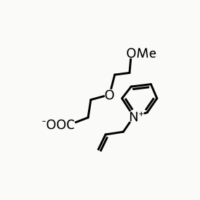 C=CC[n+]1ccccc1.COCCOCCC(=O)[O-]